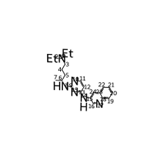 CCN(CC)CCCC(C)Nc1nccc(Nc2cnc3ccccc3c2)n1